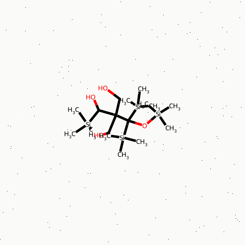 C[Si](C)(C)OC(C(CO)(CO)C(O)[Si](C)(C)C)([Si](C)(C)C)[Si](C)(C)C